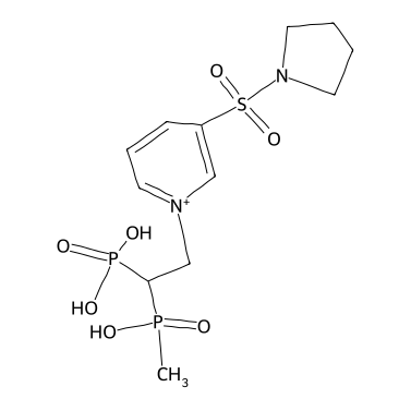 CP(=O)(O)C(C[n+]1cccc(S(=O)(=O)N2CCCC2)c1)P(=O)(O)O